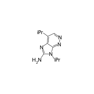 CC(C)c1cnnc2c1nc(N)n2C(C)C